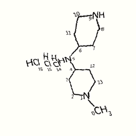 CN1CCC(NC2CCNCC2)CC1.Cl.Cl.Cl